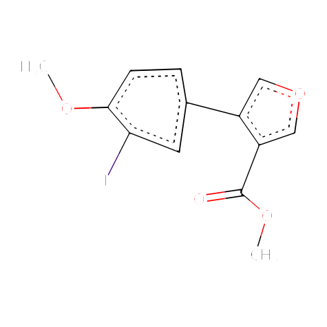 COC(=O)c1cocc1-c1ccc(OC)c(I)c1